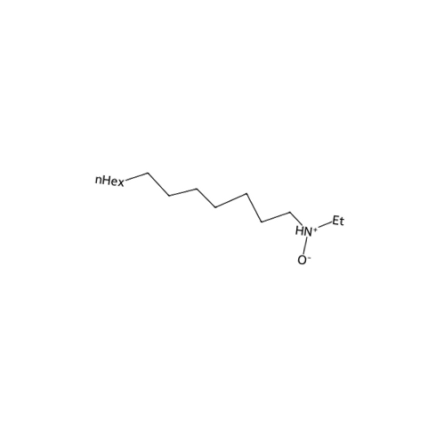 CCCCCCCCCCCCC[NH+]([O-])CC